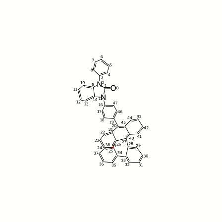 O=c1n(-c2ccccc2)c2ccccc2n1-c1ccc(-c2c3ccccc3c(-c3ccccc3-c3ccccc3)c3ccccc23)cc1